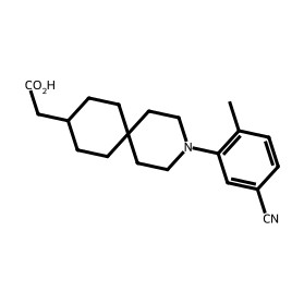 Cc1ccc(C#N)cc1N1CCC2(CCC(CC(=O)O)CC2)CC1